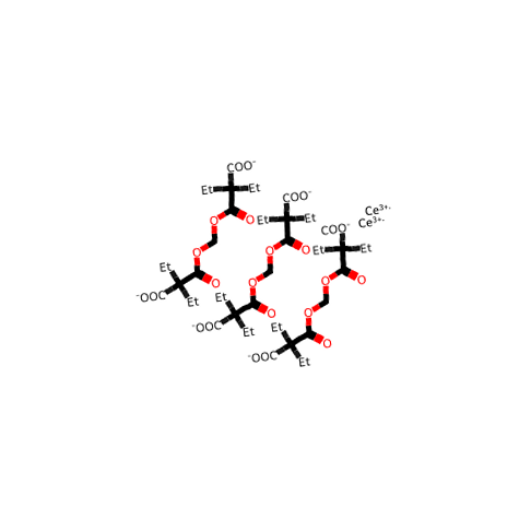 CCC(CC)(C(=O)[O-])C(=O)OCOC(=O)C(CC)(CC)C(=O)[O-].CCC(CC)(C(=O)[O-])C(=O)OCOC(=O)C(CC)(CC)C(=O)[O-].CCC(CC)(C(=O)[O-])C(=O)OCOC(=O)C(CC)(CC)C(=O)[O-].[Ce+3].[Ce+3]